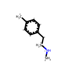 Cc1ccc(C[SiH2]N[SiH3])cc1